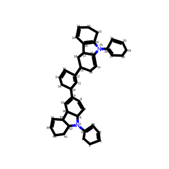 C1=CCCC(N2C3C=CC(C4C=C(C5CC=C6C(C5)C5=C(CCC=C5)N6C5=CCCC=C5)C=CC4)=CC3C3C=CCCC32)=C1